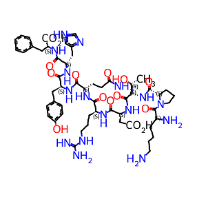 C[C@@H](O)[C@H](NC(=O)[C@@H]1CCCN1C(=O)[C@@H](N)CCCCN)C(=O)N[C@@H](CC(=O)O)C(=O)N[C@@H](CCCNC(=N)N)C(=O)N[C@@H](CCC(N)=O)C(=O)N[C@@H](Cc1ccc(O)cc1)C(=O)N[C@@H](Cc1c[nH]cn1)C(=O)N[C@@H](Cc1ccccc1)C(=O)O